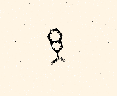 O=[SH](=O)c1cc2ccncc2o1